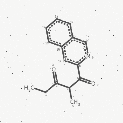 CCC(=O)C(C)C(=O)c1ncc2ccccc2n1